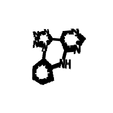 c1ccc2c(c1)Nc1ncncc1-c1nnnn1-2